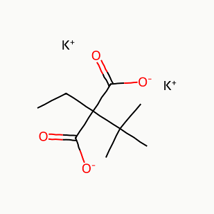 CCC(C(=O)[O-])(C(=O)[O-])C(C)(C)C.[K+].[K+]